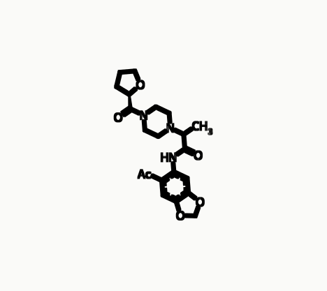 CC(=O)c1cc2c(cc1NC(=O)C(C)N1CCN(C(=O)[C@H]3CCCO3)CC1)OCO2